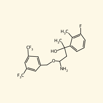 Cc1c(F)cccc1C(C)(O)CC(N)OCc1cc(C(F)(F)F)cc(C(F)(F)F)c1